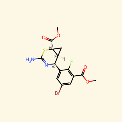 COC(=O)c1cc(Br)cc([C@H]2N=C(N)S[C@@]3(C(=O)OC)C[C@@H]23)c1F